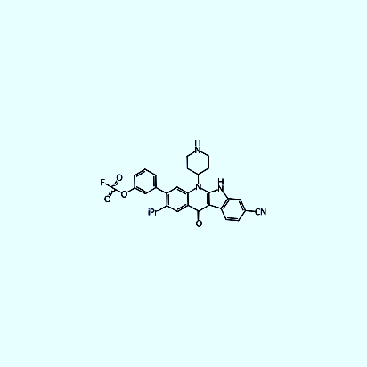 CC(C)c1cc2c(=O)c3c4ccc(C#N)cc4[nH]c3n(C3CCNCC3)c2cc1-c1cccc(OS(=O)(=O)F)c1